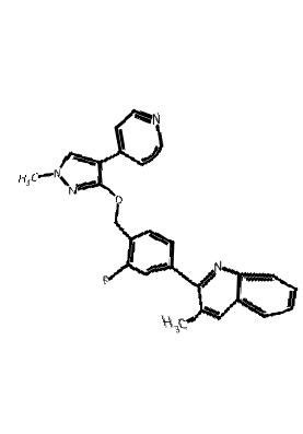 Cc1cc2ccccc2nc1-c1ccc(COc2nn(C)cc2-c2ccncc2)c(F)c1